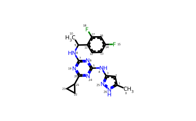 Cc1cc(Nc2nc(NC(C)c3ccc(F)cc3F)nc(C3CC3)n2)n[nH]1